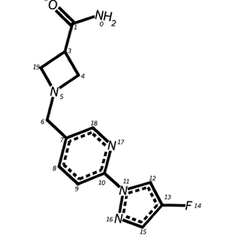 NC(=O)C1CN(Cc2ccc(-n3cc(F)cn3)nc2)C1